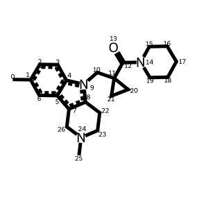 Cc1ccc2c(c1)c1c(n2CC2(C(=O)N3CCCCC3)CC2)CCN(C)C1